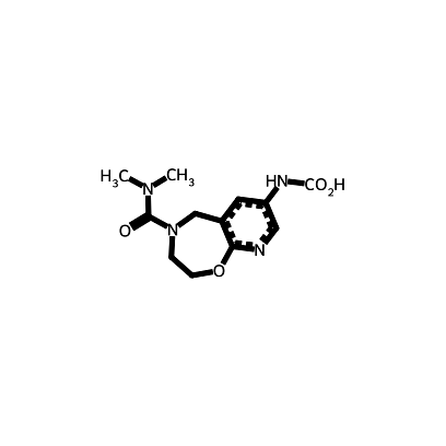 CN(C)C(=O)N1CCOc2ncc(NC(=O)O)cc2C1